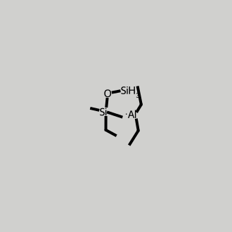 CC[Si](C)(C)O[SiH3].C[CH2][Al][CH2]C